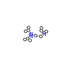 c1cc(-c2ccc(-c3nc(-c4cc5ccccc5c5ccccc45)cc(-c4cc5ccccc5c5ccccc45)n3)cc2)cc(-c2nc3ccccc3c3c2ccc2ccccc23)c1